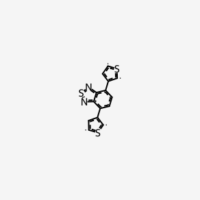 [c]1cc(-c2ccc(-c3[c]s[c]c3)c3nsnc23)[c]s1